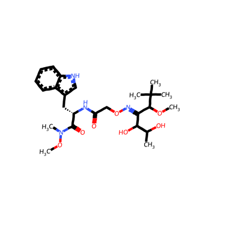 COC(/C(=N/OCC(=O)N[C@@H](Cc1c[nH]c2ccccc12)C(=O)N(C)OC)C(O)C(C)O)C(C)(C)C